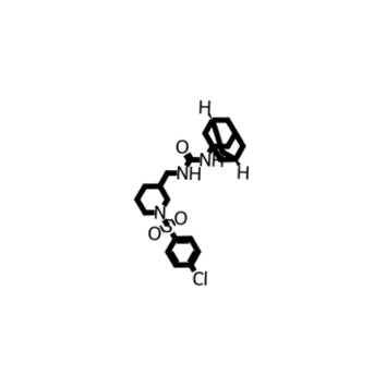 O=C(NCC1CCCN(S(=O)(=O)c2ccc(Cl)cc2)C1)NC12CC3C[C@H](C1)C[C@H](C3)C2